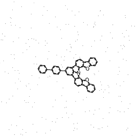 c1ccc(-c2ccc(-c3cc4c5ccc6c7ccccc7oc6c5n5c4c(c3)c3ccc4c6ccccc6oc4c35)cc2)cc1